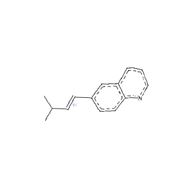 CC(C)/C=C/c1ccc2ncccc2c1